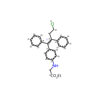 CCOC(=O)CNc1ccc(/C(=C(/CCCl)c2ccccc2)c2ccccc2)cc1